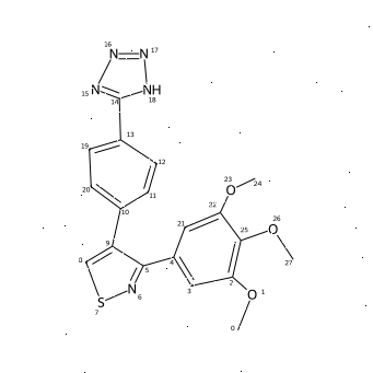 COc1cc(-c2nscc2-c2ccc(-c3nnn[nH]3)cc2)cc(OC)c1OC